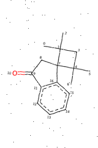 CC1(C)CC(C)(C)C12CC(=O)c1ccccc12